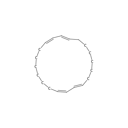 C1=C\CCCCCC/C=C\C=C\CCCCCC/C=C/1